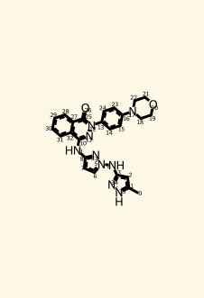 Cc1cc(Nn2ccc(Nc3nn(-c4ccc(N5CCOCC5)cc4)c(=O)c4ccccc34)n2)n[nH]1